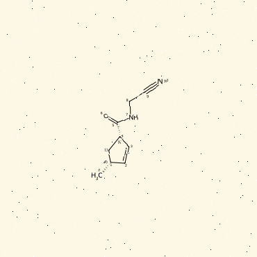 C[C@H]1C=C[C@@H](C(=O)NCC#N)C1